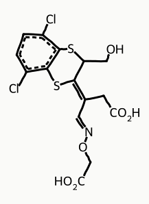 O=C(O)CO/N=C/C(CC(=O)O)=C1\Sc2c(Cl)ccc(Cl)c2SC1CO